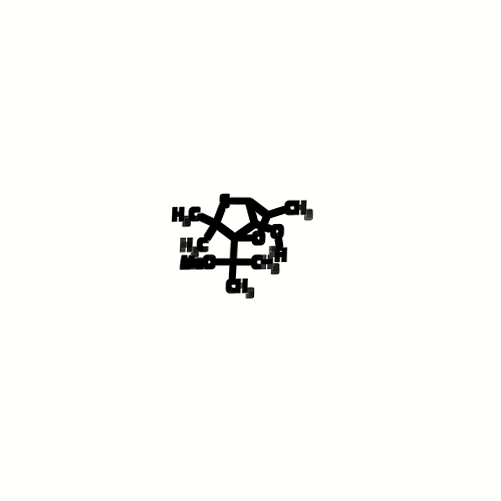 [3H]OC1C2SC(C)(C)C1(C(C)(C)OC)OC2C